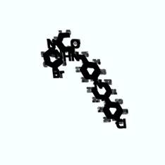 CCc1nc2ccc(Br)cn2c1C(=O)NCc1ccc(N2CCC(c3ccc(Cl)cc3)CC2)cc1